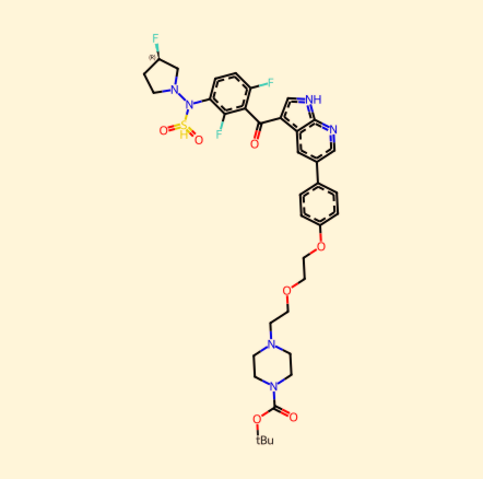 CC(C)(C)OC(=O)N1CCN(CCOCCOc2ccc(-c3cnc4[nH]cc(C(=O)c5c(F)ccc(N(N6CC[C@@H](F)C6)[SH](=O)=O)c5F)c4c3)cc2)CC1